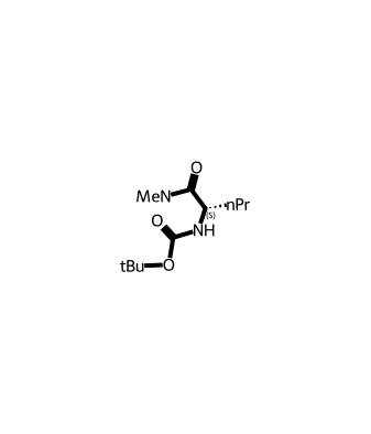 CCC[C@H](NC(=O)OC(C)(C)C)C(=O)NC